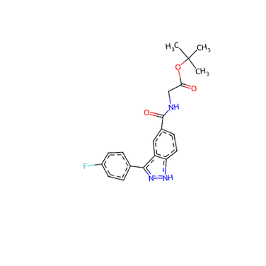 CC(C)(C)OC(=O)CNC(=O)c1ccc2[nH]nc(-c3ccc(F)cc3)c2c1